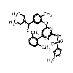 CCN(CC)C(=O)c1ccc(C)c(Oc2cc(-c3c(C)cccc3C)nc(NS(=O)(=O)c3cnn(C)c3)n2)c1